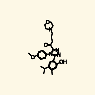 COc1ccc(-n2c(C(=O)CCCN3CCOCC3)nnc2-c2cc(C(C)C)c(C)cc2O)cc1